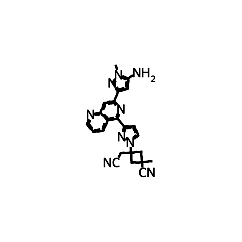 Cn1nc(-c2cc3ncccc3c(-c3ccn(C4(CC#N)CC(C)(C#N)C4)n3)n2)cc1N